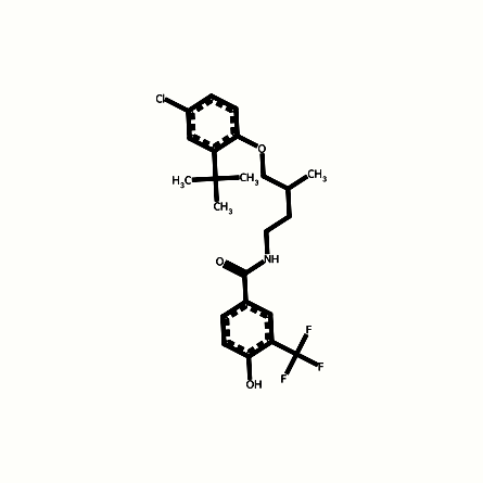 CC(CCNC(=O)c1ccc(O)c(C(F)(F)F)c1)COc1ccc(Cl)cc1C(C)(C)C